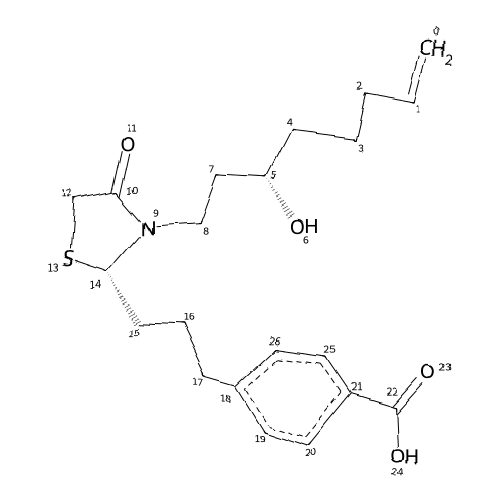 C=CCCC[C@H](O)CCN1C(=O)CS[C@H]1CCCc1ccc(C(=O)O)cc1